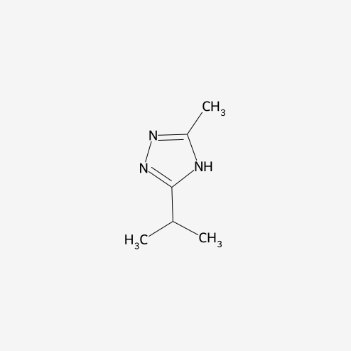 Cc1nnc(C(C)C)[nH]1